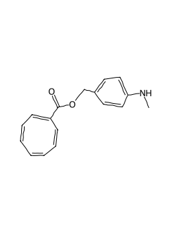 CNc1ccc(COC(=O)C2=C/C=C\C=C/C=C\2)cc1